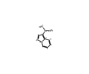 CCCN(CCC)c1cnn2ccccc12